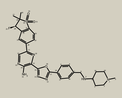 CN1CCC(NCc2ccc(-c3nnc(-c4nc(-c5ccc6c(c5)[C@@H](F)C(C)(C)S6(=O)=O)cnc4N)o3)cc2)CC1